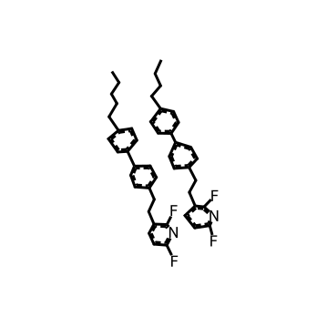 CCCCCc1ccc(-c2ccc(CCc3ccc(F)nc3F)cc2)cc1.CCCCc1ccc(-c2ccc(CCc3ccc(F)nc3F)cc2)cc1